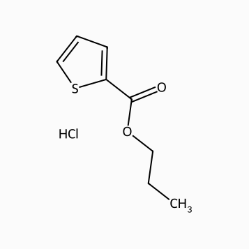 CCCOC(=O)c1cccs1.Cl